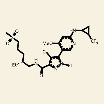 CC[C@H](CCCS(C)(=O)=O)CNC(=O)c1nn(CC)c(-c2cnc(NC3CC3C(F)(F)F)cc2OC)c1Cl